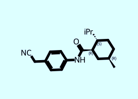 CC(C)[C@@H]1CC[C@@H](C)C[C@H]1C(=O)Nc1ccc(CC#N)cc1